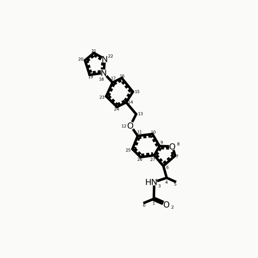 CC(=O)NC(C)c1coc2cc(OCc3ccc(-n4cccn4)cc3)ccc12